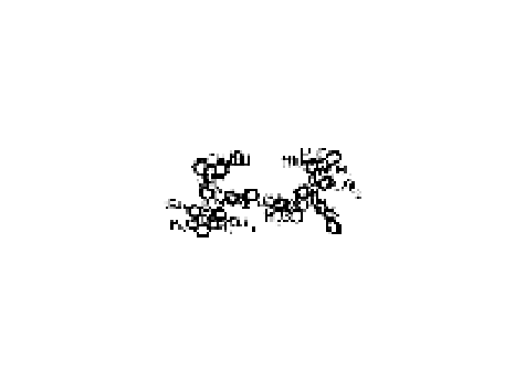 Cc1cc2c3c(c1)N1c4c(cc(C(C)(C)C)cc4C4(C)CCCCC14C)B3c1ccc(N3c4ccc(C(C)(C)C)cc4C4(C)CCCCC34C)cc1N2c1ccc2c(c1)oc1c(CC(C)(C)c3ccc4c(c3)C3(C)CCCCC3(C)N4c3ccc4c(c3)N(c3ccc5c(c3)sc3ccccc35)c3cc(C)cc5c3B4c3cc(C(C)(C)C)cc4c3N5C3(C)CCCCC43C)cccc12